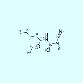 C=C(C#N)C(=O)NC(CCCC)OCC